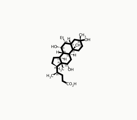 CC[C@H]1[C@@H](O)[C@@H]2[C@H](C[C@H](O)[C@]3(C)[C@@H]([C@H](C)CCC(=O)O)CC[C@@H]23)[C@@]2(C)CC[C@@](C)(O)C[C@@H]12